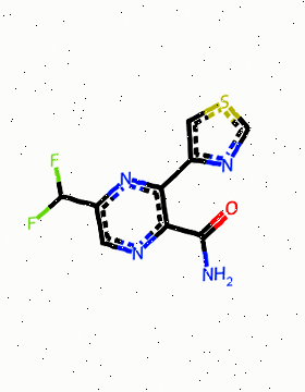 NC(=O)c1ncc(C(F)F)nc1-c1cscn1